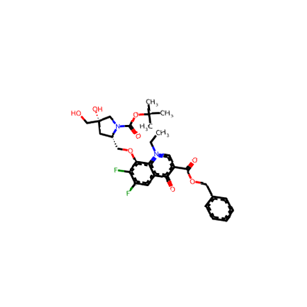 CCn1cc(C(=O)OCc2ccccc2)c(=O)c2cc(F)c(F)c(OC[C@@H]3C[C@@](O)(CO)CN3C(=O)OC(C)(C)C)c21